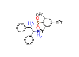 CCCc1cc(CCC)c(S(=O)(=O)NC(c2ccccc2)C(N)c2ccccc2)c(CCC)c1